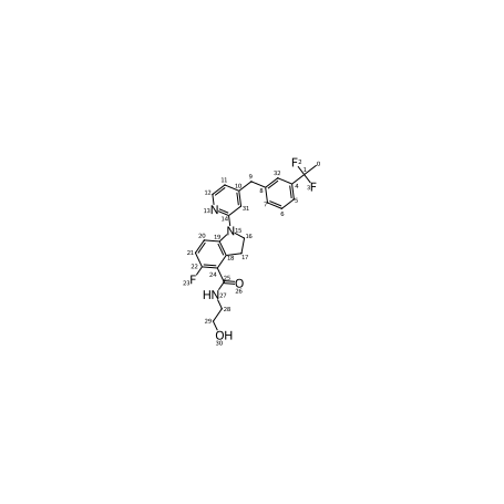 CC(F)(F)c1cccc(Cc2ccnc(N3CCc4c3ccc(F)c4C(=O)NCCO)c2)c1